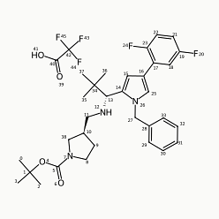 CC(C)(C)OC(=O)N1CC[C@H](CN[C@@H](c2cc(-c3cc(F)ccc3F)cn2Cc2ccccc2)C(C)(C)C)C1.O=C(O)C(F)(F)F